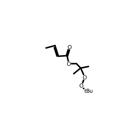 CC=CC(=O)OCC(C)(C)OOC(C)(C)C